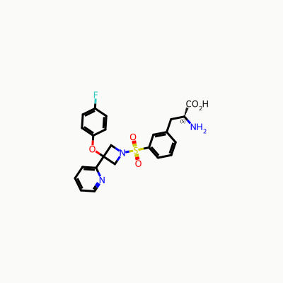 N[C@@H](Cc1cccc(S(=O)(=O)N2CC(Oc3ccc(F)cc3)(c3ccccn3)C2)c1)C(=O)O